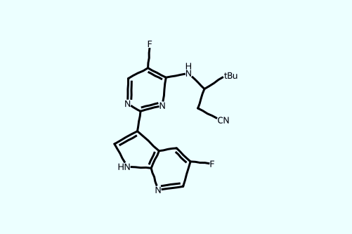 CC(C)(C)C(CC#N)Nc1nc(-c2c[nH]c3ncc(F)cc23)ncc1F